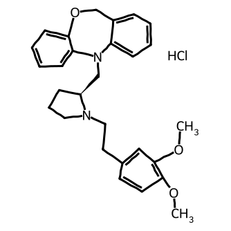 COc1ccc(CCN2CCC[C@H]2CN2c3ccccc3COc3ccccc32)cc1OC.Cl